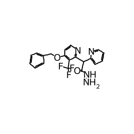 NNC(=O)C(c1ccccn1)c1nccc(OCc2ccccc2)c1C(F)(F)F